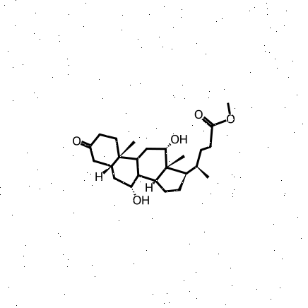 COC(=O)CC[C@@H](C)[C@H]1CC[C@H]2C3C(C[C@H](O)[C@]12C)[C@@]1(C)CCC(=O)C[C@H]1C[C@H]3O